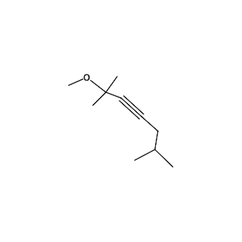 COC(C)(C)C#CCC(C)C